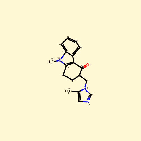 Cc1cncn1CC1CCc2c(c3ccccc3n2C)C1=O